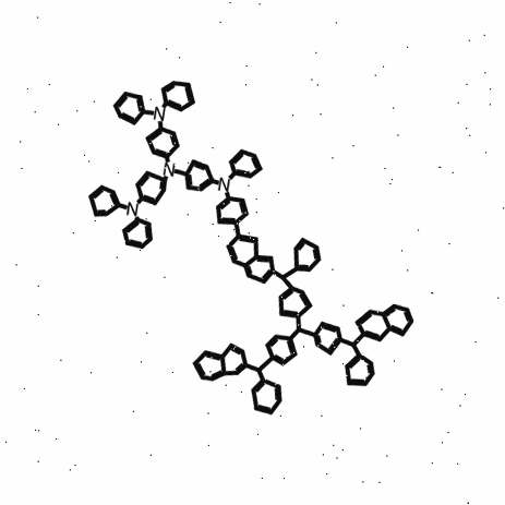 c1ccc(C(c2ccc(C(c3ccc(C(c4ccccc4)c4ccc5ccccc5c4)cc3)c3ccc(C(c4ccccc4)c4ccc5ccc(-c6ccc(N(c7ccccc7)c7ccc(N(c8ccc(N(c9ccccc9)c9ccccc9)cc8)c8ccc(N(c9ccccc9)c9ccccc9)cc8)cc7)cc6)cc5c4)cc3)cc2)c2ccc3ccccc3c2)cc1